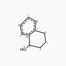 OC1CC[CH]c2ccccc21